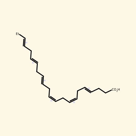 CC/C=C/C/C=C/C/C=C/C/C=C\C/C=C\C/C=C/CCC(=O)O